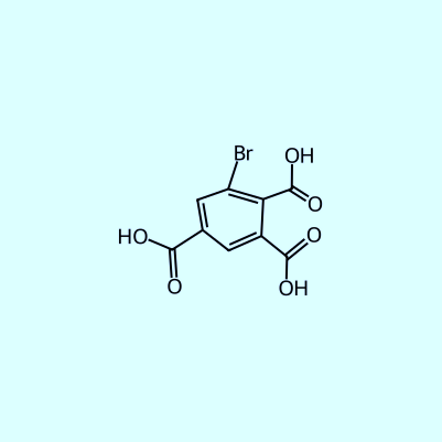 O=C(O)c1cc(Br)c(C(=O)O)c(C(=O)O)c1